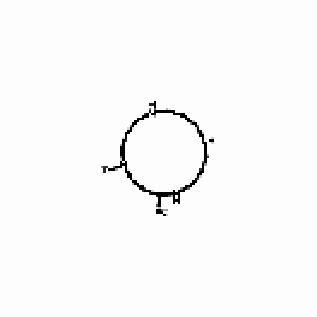 CC(=O)C1CC[N]([Ti])CCCNCCCNCCCN1